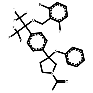 CC(=O)N1CCC(Sc2ccccc2)(c2ccc(C(OCc3c(F)cccc3F)(C(F)(F)F)C(F)(F)F)cc2)C1